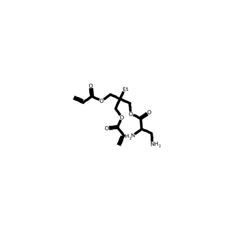 C=CC(=O)OCC(CC)(COC(=O)C=C)COC(=O)C(N)CN